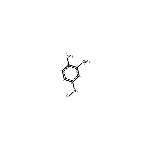 CC[N]c1ccc(OC)c(OC)c1